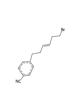 N#Cc1ccc(CC/C=C/CCBr)cc1